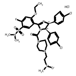 CCOc1cc(F)c(S(=O)(=O)N(C)C)cc1C1=N[C@@H](c2ccc(Cl)cc2)[C@@H](c2ccc(Cl)cc2)N1C(=O)N1CCN(CC[S+](C)[O-])CC1.Cl